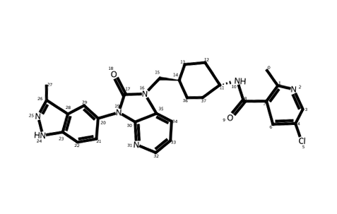 Cc1ncc(Cl)cc1C(=O)N[C@H]1CC[C@H](Cn2c(=O)n(-c3ccc4[nH]nc(C)c4c3)c3ncccc32)CC1